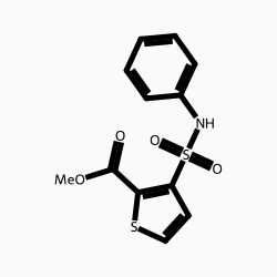 COC(=O)c1sccc1S(=O)(=O)Nc1ccccc1